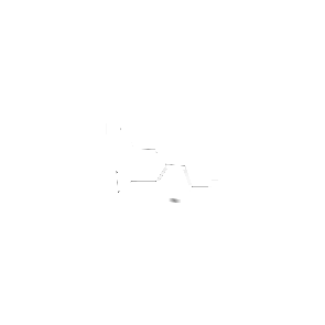 C[C](CO)c1cc(F)ccc1C1CC1